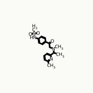 Cc1cccc(C(C)N(C)CC(=O)c2ccc(NS(C)(=O)=O)cc2)n1